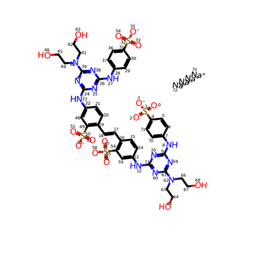 O=S(=O)([O-])c1ccc(Nc2nc(Nc3ccc(C=Cc4ccc(Nc5nc(Nc6ccc(S(=O)(=O)[O-])cc6)nc(N(CCO)CCO)n5)cc4S(=O)(=O)[O-])c(S(=O)(=O)[O-])c3)nc(N(CCO)CCO)n2)cc1.[Na+].[Na+].[Na+].[Na+]